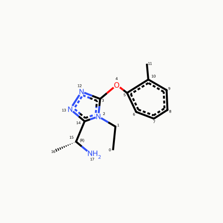 CCn1c(Oc2ccccc2C)nnc1[C@@H](C)N